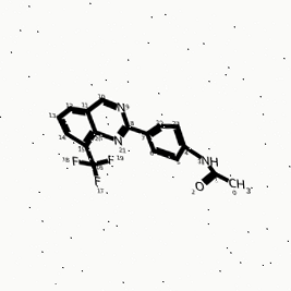 CC(=O)Nc1ccc(-c2ncc3cccc(C(F)(F)F)c3n2)cc1